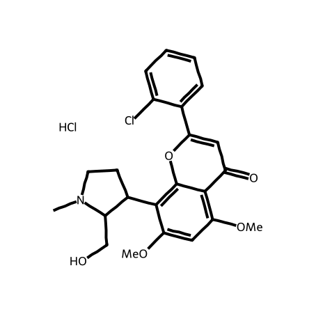 COc1cc(OC)c2c(=O)cc(-c3ccccc3Cl)oc2c1C1CCN(C)C1CO.Cl